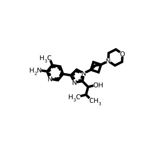 Cc1cc(-c2cn(C34CC(N5CCOCC5)(C3)C4)c(C(O)C(C)C)n2)cnc1N